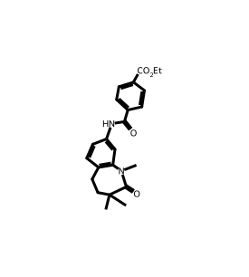 CCOC(=O)c1ccc(C(=O)Nc2ccc3c(c2)N(C)C(=O)C(C)(C)CC3)cc1